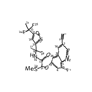 C#Cc1cnc2c(F)cc(OC(SC)C(=O)NC(C)(C)c3cc(C(C)(F)F)on3)cc2c1